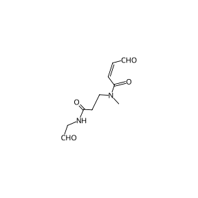 CN(CCC(=O)NCC=O)C(=O)/C=C\C=O